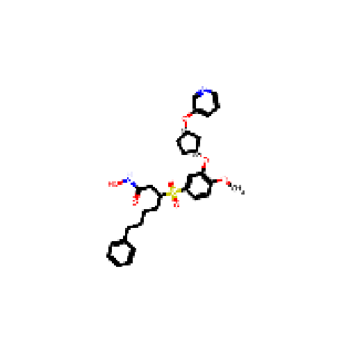 COc1ccc(S(=O)(=O)C(CCCCc2ccccc2)CC(=O)NO)cc1O[C@@H]1CC[C@@H](Oc2cccnc2)C1